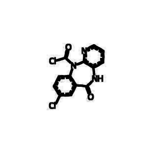 O=C1Nc2cccnc2N(C(=O)Cl)c2ccc(Cl)cc21